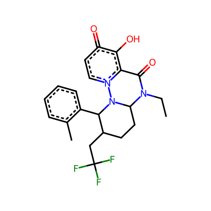 CCN1C(=O)c2c(O)c(=O)ccn2N2C(c3ccccc3C)C(CC(F)(F)F)CCC12